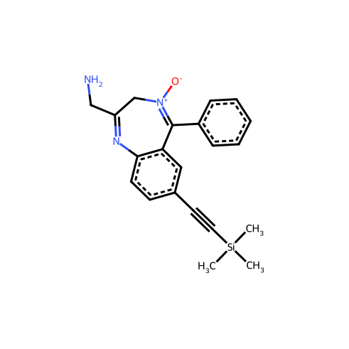 C[Si](C)(C)C#Cc1ccc2c(c1)C(c1ccccc1)=[N+]([O-])CC(CN)=N2